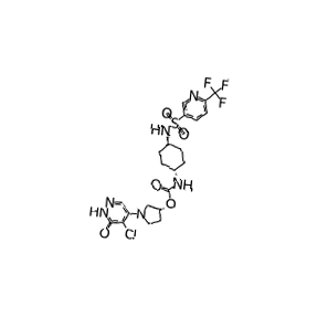 O=C(N[C@H]1CC[C@H](NS(=O)(=O)c2ccc(C(F)(F)F)nc2)CC1)O[C@@H]1CCN(c2cn[nH]c(=O)c2Cl)C1